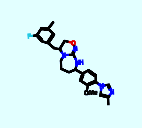 COc1cc(C2CCCN3C(=NOCC3Cc3cc(C)cc(F)c3)N2)ccc1-n1cnc(C)c1